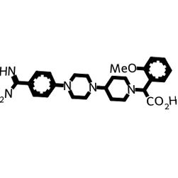 COc1ccccc1C(C(=O)O)N1CCC(N2CCN(c3ccc(C(=N)N)cc3)CC2)CC1